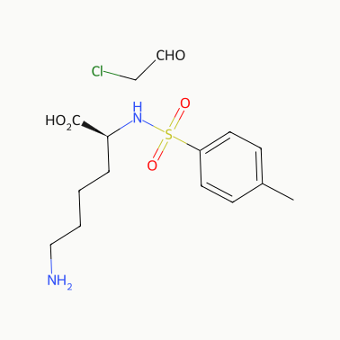 Cc1ccc(S(=O)(=O)N[C@@H](CCCCN)C(=O)O)cc1.O=CCCl